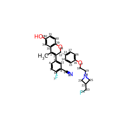 CC1=C(c2ccc(F)c(C#N)c2)[C@@H](c2ccc(OCCN3CC(CF)C3)cc2)Oc2ccc(O)cc21